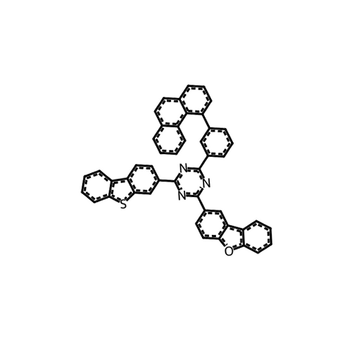 c1cc(-c2nc(-c3ccc4c(c3)sc3ccccc34)nc(-c3ccc4oc5ccccc5c4c3)n2)cc(-c2cccc3ccc4ccccc4c23)c1